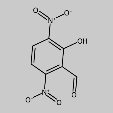 O=Cc1c([N+](=O)[O-])ccc([N+](=O)[O-])c1O